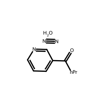 CCCC(=O)c1cccnc1.N#N.O